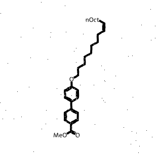 CCCCCCCC/C=C\CCCCCCCCOc1ccc(-c2ccc(C(=O)OC)cc2)cc1